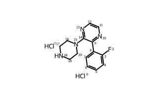 Cl.Cl.Fc1ccccc1-c1nccnc1N1CCNCC1